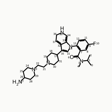 CC(C)N(C)C(=O)c1cc(F)ccc1-n1cc(C2CCN(CCN3CCC(N)CC3)CC2)c2c1=CNCC=2